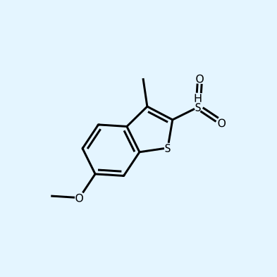 COc1ccc2c(C)c([SH](=O)=O)sc2c1